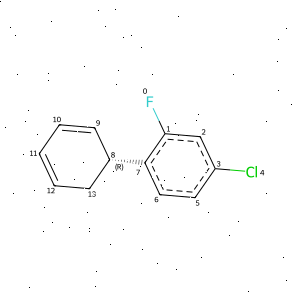 Fc1cc(Cl)ccc1[C@H]1C=CC=CC1